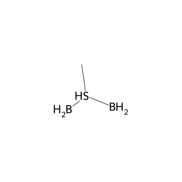 B[SH](B)C